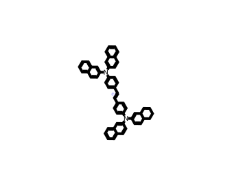 C1=CC2CCCCC2C=C1N(c1ccc(/C=C/c2ccc(N(c3ccc4ccccc4c3)c3ccc4ccccc4c3)cc2)cc1)c1ccc2ccccc2c1